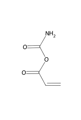 C=CC(=O)OC(N)=O